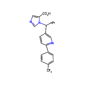 CCCC(c1ccc(-c2ccc(C(F)(F)F)cc2)nc1)n1cncc1C(=O)O